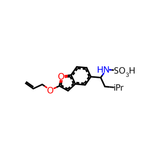 C=CCOc1cc2cc(C(CC(C)C)NS(=O)(=O)O)ccc2o1